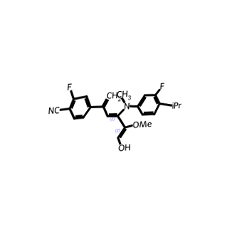 C=C(/C=C(/C(=C/O)OC)N(C)c1ccc(C(C)C)c(F)c1)c1ccc(C#N)c(F)c1